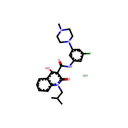 CC(C)Cn1c(=O)c(C(=O)Nc2cc(F)cc(N3CCN(C)CC3)c2)c(O)c2ccccc21.Cl